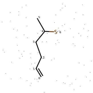 C=CCCC(C)[S]